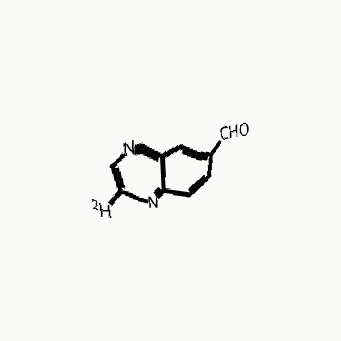 [2H]c1cnc2cc(C=O)ccc2n1